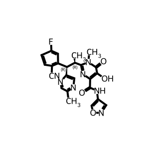 Cc1cnc([C@@H](c2cc(F)ccc2C#N)[C@@H](C)c2nc(C(=O)Nc3cnoc3)c(O)c(=O)n2C)cn1